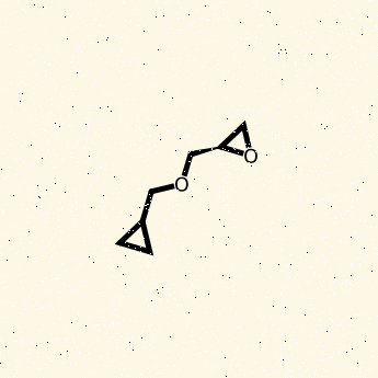 C1CC1COC[C@H]1CO1